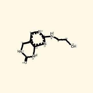 O=C1NCc2cnc(NCCO)nc2N1